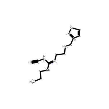 CCCN/C(=N/CCNCc1ccon1)NC#N